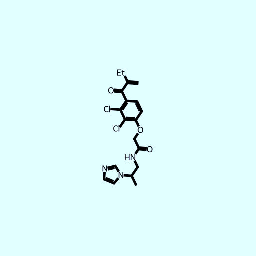 C=C(CC)C(=O)c1ccc(OCC(=O)NCC(C)n2ccnc2)c(Cl)c1Cl